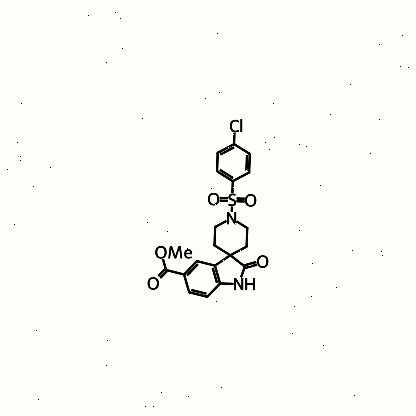 COC(=O)c1ccc2c(c1)C1(CCN(S(=O)(=O)c3ccc(Cl)cc3)CC1)C(=O)N2